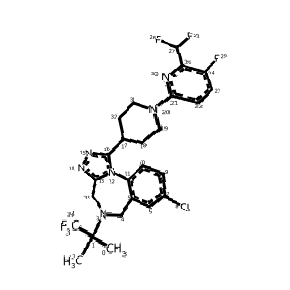 CC(C)(N1Cc2cc(Cl)ccc2-n2c(nnc2C2CCN(c3ccc(F)c(C(F)F)n3)CC2)C1)C(F)(F)F